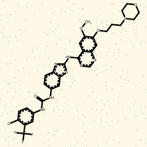 COc1cc2c(Nc3nc4ccc(NC(=O)Nc5ccc(Cl)c(C(F)(F)F)c5)cc4s3)ncnc2cc1OCCCN1CCOCC1